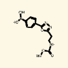 CC(C)(C)OC(=O)NCCc1nnc(-c2ccc(B(O)O)cc2)o1